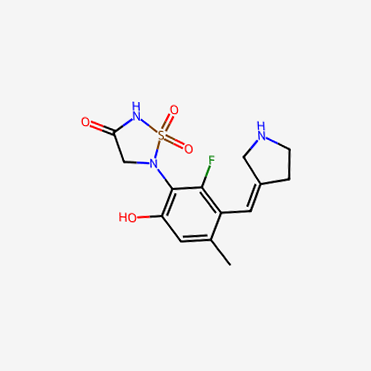 Cc1cc(O)c(N2CC(=O)NS2(=O)=O)c(F)c1/C=C1/CCNC1